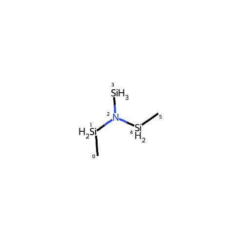 C[SiH2]N([SiH3])[SiH2]C